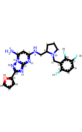 Nc1cc(NCC2CCCN2Cc2c(F)ccc(F)c2F)nc2nc(-c3ccco3)nn12